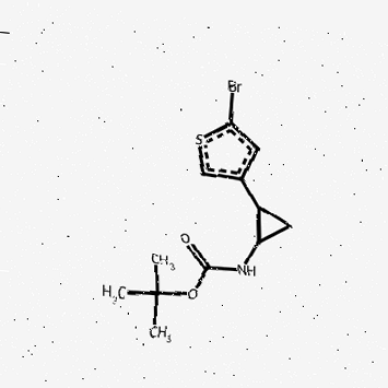 CC(C)(C)OC(=O)NC1CC1c1csc(Br)c1